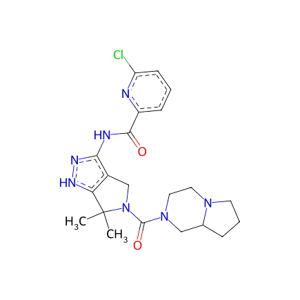 CC1(C)c2[nH]nc(NC(=O)c3cccc(Cl)n3)c2CN1C(=O)N1CCN2CCCC2C1